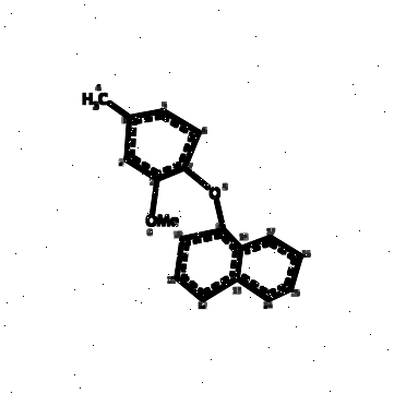 COc1cc(C)ccc1Oc1cccc2ccccc12